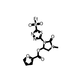 CCS(=O)(=O)c1nnc(N2C(=O)N(C)CC2OC(=O)c2ccco2)s1